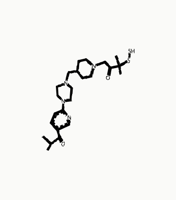 CC(C)C(=O)c1ccc(N2CCN(CC3CCN(CC(=O)C(C)(C)SS)CC3)CC2)nc1